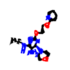 CNc1nc(OCCOc2ccccn2)nc(N2CCOCC2)c1N